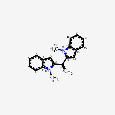 C=C(c1cc2ccccc2n1C)c1cc2ccccc2n1C